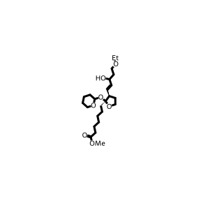 CCOCCC(O)C=C[C@H]1CCO[C@@]1(CCCCCCC(=O)OC)OC1CCCCO1